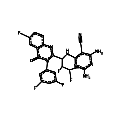 N#Cc1c(N)nc(N)nc1NC(c1nc2ccc(F)cc2c(=O)n1-c1cc(F)cc(F)c1)C(F)C(F)F